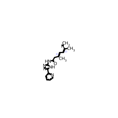 C=N/C(C)=C\C=C(/C)CC(=O)Nc1nnc(-c2ccccn2)[nH]1